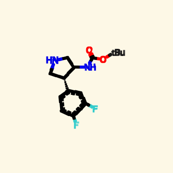 CC(C)(C)OC(=O)NC1CNC[C@H]1c1ccc(F)c(F)c1